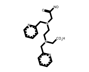 O=NC(=O)CN(CCN(CC(=O)O)Cc1ccccn1)Cc1ccccn1